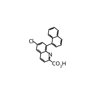 O=C(O)c1ccc2cc(Cl)cc(-c3cccc4ccccc34)c2n1